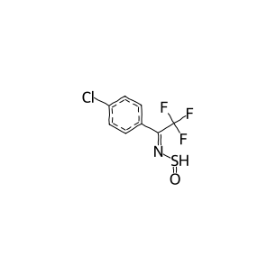 O=[SH]/N=C(/c1ccc(Cl)cc1)C(F)(F)F